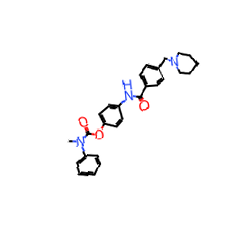 CN(C(=O)Oc1ccc(NC(=O)c2ccc(CN3CCCCC3)cc2)cc1)c1ccccc1